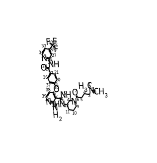 CN(C)CCCC(=O)N1CCC[C@@H](NC(=N)c2c(Oc3ccc(C(=O)Nc4cc(C(F)(F)F)ccn4)cc3)ccnc2N)C1